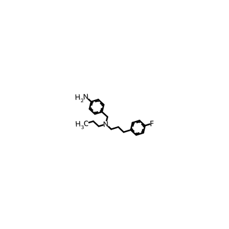 CCCN(CCCc1ccc(F)cc1)Cc1ccc(N)cc1